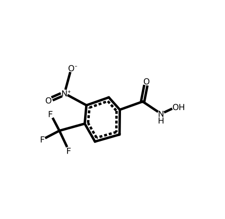 O=C(NO)c1ccc(C(F)(F)F)c([N+](=O)[O-])c1